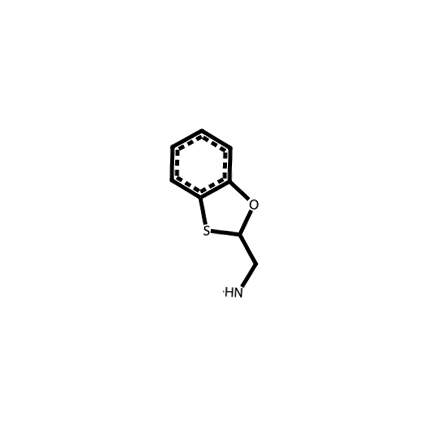 [NH]CC1Oc2ccccc2S1